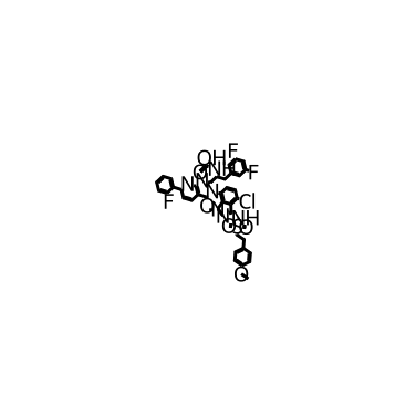 COc1ccc(CCS(=O)(=O)Nc2nn(C)c3c(-n4c(C(Cc5cc(F)cc(F)c5)NC(=O)O)nc5nc(-c6ccccc6F)ccc5c4=O)ccc(Cl)c23)cc1